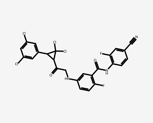 N#Cc1ccc(NC(=O)c2cc(NCC(=O)C3C(c4cc(Cl)cc(Cl)c4)C3(Cl)Cl)ccc2F)c(F)c1